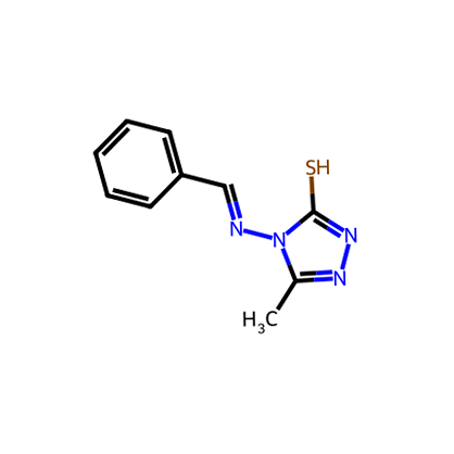 Cc1nnc(S)n1N=Cc1ccccc1